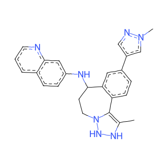 CC1=C2c3ccc(-c4cnn(C)c4)cc3C(Nc3ccc4cccnc4c3)CCN2NN1